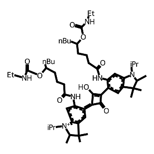 CCCCC(CCCC(=O)Nc1cc2c(cc1C1=C(O)/C(=c3/cc4c(cc3NC(=O)CCCC(CCCC)OC(=O)NCC)=[N+](C(C)C)C(C)C4(C)C)C1=O)C(C)(C)C(C)N2C(C)C)OC(=O)NCC